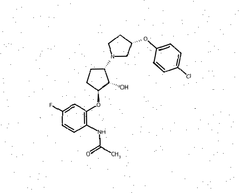 CC(=O)Nc1ccc(F)cc1O[C@H]1CC[C@H](N2CC[C@H](Oc3ccc(Cl)cc3)C2)[C@@H]1O